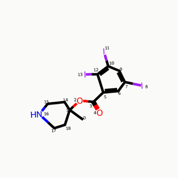 CC1(OC(=O)c2cc(I)cc(I)c2I)CCNCC1